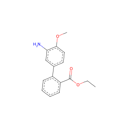 CCOC(=O)c1ccccc1-c1ccc(OC)c(N)c1